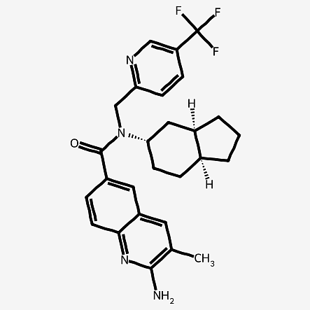 Cc1cc2cc(C(=O)N(Cc3ccc(C(F)(F)F)cn3)[C@H]3CC[C@@H]4CCC[C@@H]4C3)ccc2nc1N